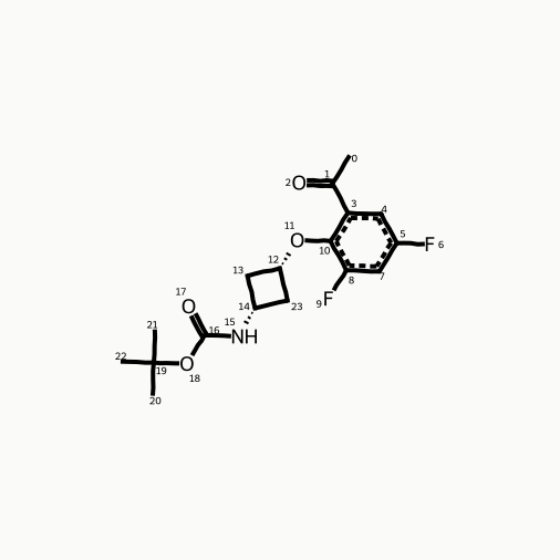 CC(=O)c1cc(F)cc(F)c1O[C@H]1C[C@@H](NC(=O)OC(C)(C)C)C1